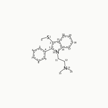 CSc1c(-c2ccccc2)n(CCN(C)C)c2ccccc12